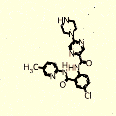 Cc1ccc(NC(=O)c2cc(Cl)ccc2NC(=O)c2cnc(N3CCNCC3)cn2)nc1